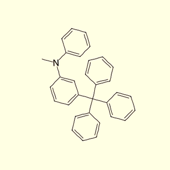 CN(c1ccccc1)c1cccc(C(c2ccccc2)(c2ccccc2)c2ccccc2)c1